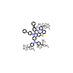 Cc1cc(C(C)(C)C)ccc1N1c2cc(-c3ccccc3)ccc2B2c3c(cc4sc5ccccc5c4c31)-c1cc(N(c3ccc(C(C)(C)C)cc3)c3ccc(C(C)(C)C)cc3)ccc1N2c1ccc(-c2ccccc2)cc1